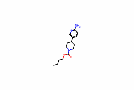 CCCCOC(=O)N1CCC(c2ccc(N)nc2)CC1